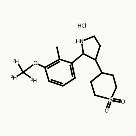 Cl.[2H]C([2H])([2H])Oc1cccc(C2NCCC2C2CCS(=O)(=O)CC2)c1C